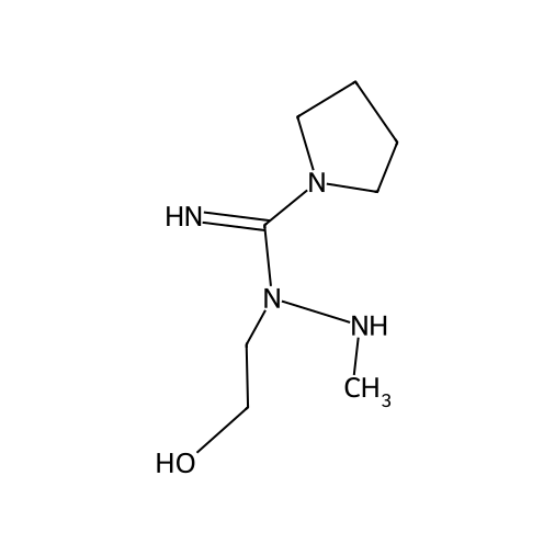 CNN(CCO)C(=N)N1CCCC1